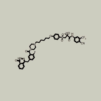 C[C@](O)(CS(=O)(=O)c1ccc(OCCCCCCN2CCN(C(=O)c3cc(Cc4n[nH]c(=O)c5ccccc45)ccc3F)CC2)cc1)C(=O)Nc1ccc(C#N)c(C(F)(F)F)c1